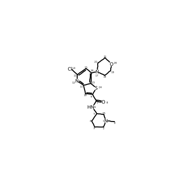 CN1CCCC(NC(=O)c2cc3nc(Cl)cc(N4CCOCC4)c3s2)C1